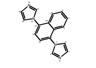 c1ccc2c(-n3ccnc3)ccc(-n3ccnc3)c2c1